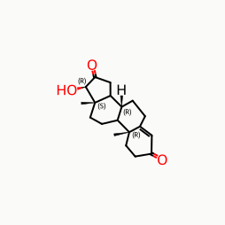 C[C@]12CCC(=O)C=C1CC[C@@H]1C2CC[C@@]2(C)C1CC(=O)[C@@H]2O